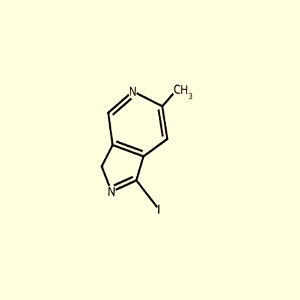 Cc1cc2c(cn1)CN=C2I